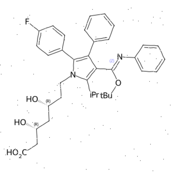 CC(C)c1c(/C(=N/c2ccccc2)OC(C)(C)C)c(-c2ccccc2)c(-c2ccc(F)cc2)n1CC[C@@H](O)C[C@@H](O)CC(=O)O